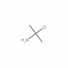 CC(C)(N)[O]